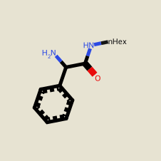 CCCCCCNC(=O)C(N)c1ccccc1